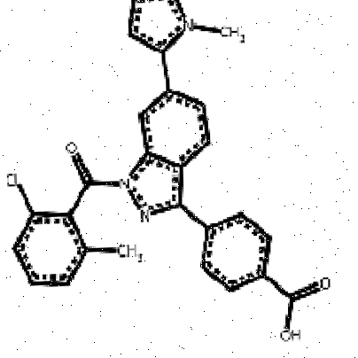 Cc1cccc(Cl)c1C(=O)n1nc(-c2ccc(C(=O)O)cc2)c2ccc(-c3ccnn3C)cc21